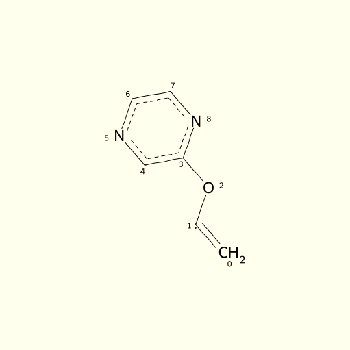 C=[C]Oc1cnccn1